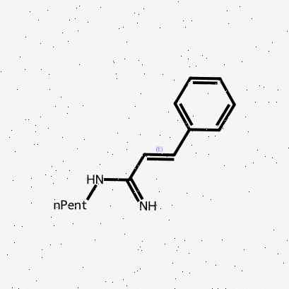 CCCCCNC(=N)/C=C/c1ccccc1